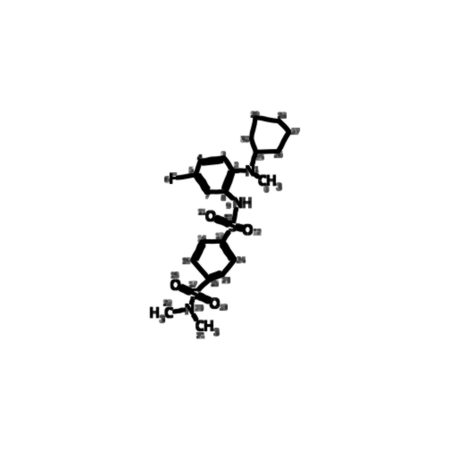 CN(c1ccc(F)cc1NS(=O)(=O)c1ccc(S(=O)(=O)N(C)C)cc1)C1CCCCC1